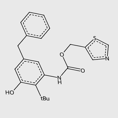 CC(C)(C)c1c(O)cc(Cc2ccccc2)cc1NC(=O)OCc1cncs1